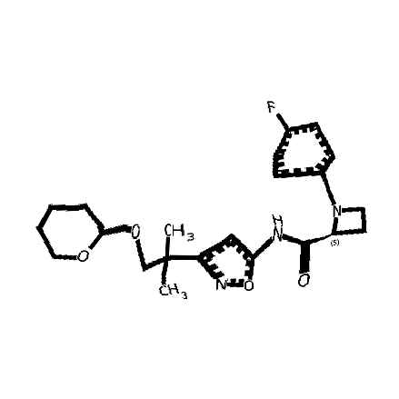 CC(C)(COC1CCCCO1)c1cc(NC(=O)[C@@H]2CCN2c2ccc(F)cc2)on1